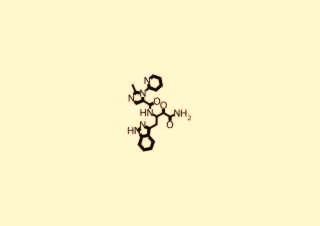 Cc1ncc(C(=O)NC(Cc2n[nH]c3ccccc23)C(=O)C(N)=O)n1-c1ccccn1